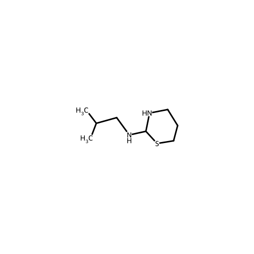 CC(C)CNC1NCCCS1